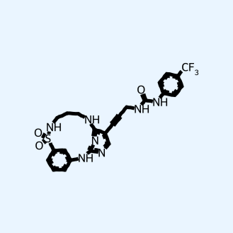 O=C(NCC#Cc1cnc2nc1NCCCNS(=O)(=O)c1cccc(c1)N2)Nc1ccc(C(F)(F)F)cc1